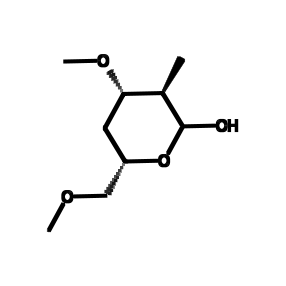 COC[C@@H]1C[C@H](OC)[C@@H](C)C(O)O1